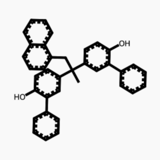 CC(Cc1cccc2ccccc12)(c1ccc(O)c(-c2ccccc2)c1)c1ccc(O)c(-c2ccccc2)c1